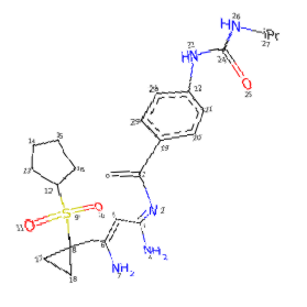 C=C(/N=C(N)\C=C(/N)C1(S(=O)(=O)C2CCCC2)CC1)c1ccc(NC(=O)NC(C)C)cc1